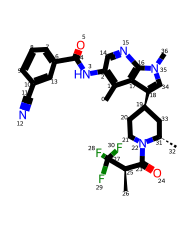 Cc1c(NC(=O)c2cccc(C#N)c2)cnc2c1c([C@@H]1CCN(C(=O)[C@@H](C)C(F)(F)F)[C@@H](C)C1)cn2C